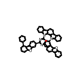 c1ccc(-c2cccc3oc4cc(-c5nc(-c6ccc7c(c6)oc6ccccc67)nc(-n6c7ccccc7c7ccc8c9ccccc9n(-c9ccccc9)c8c76)n5)ccc4c23)cc1